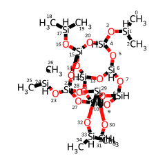 C[SiH](C)O[SiH]1O[SiH]2O[SiH]3O[SiH]4O[SiH](O2)O[Si](O[SiH](C)C)(O1)O[Si](O[SiH](C)C)(O4)O[Si](O[SiH3])(O[SiH](C)C)O3